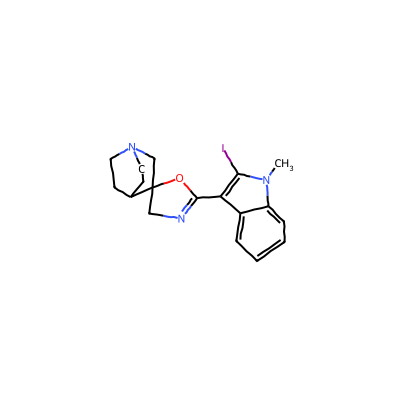 Cn1c(I)c(C2=NCC3(CN4CCC3CC4)O2)c2ccccc21